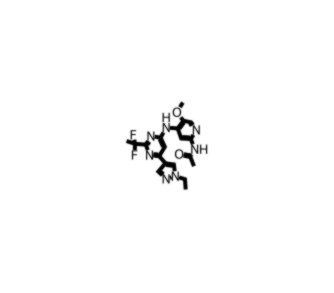 CCn1cc(-c2cc(Nc3cc(NC(C)=O)ncc3OC)nc(C(C)(F)F)n2)cn1